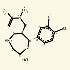 CC(=O)N(C)C[C@@H]1CNCCO[C@H]1c1ccc(Cl)c(F)c1.Cl